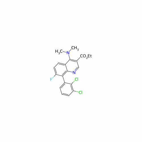 CCOC(=O)c1cnc2c(-c3cccc(Cl)c3Cl)c(F)ccc2c1N(C)C